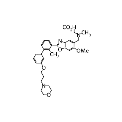 COc1cc2oc(-c3cccc(-c4cccc(OCCCN5CCOCC5)c4)c3C)nc2cc1CN(C)CC(=O)O